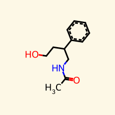 CC(=O)NCC(CCO)c1ccccc1